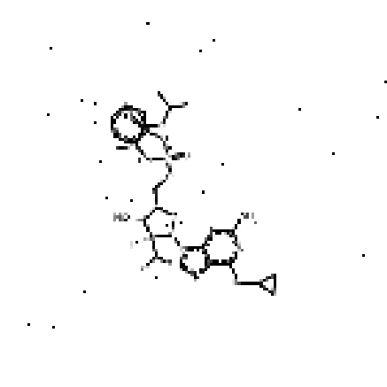 CC(C)OC(=O)[C@H](C)NP(=O)(OC[C@H]1O[C@@H](n2cnc3c(NC4CC4)nc(N)nc32)[C@@](F)(C(F)F)[C@@H]1O)Oc1ccccc1